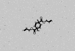 C=CCOC(=O)C1(C)C=CC(C)(C(=O)OCC=C)C=C1